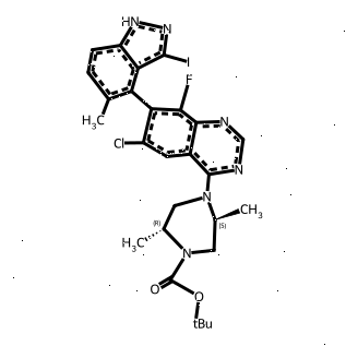 Cc1ccc2[nH]nc(I)c2c1-c1c(Cl)cc2c(N3C[C@@H](C)N(C(=O)OC(C)(C)C)C[C@@H]3C)ncnc2c1F